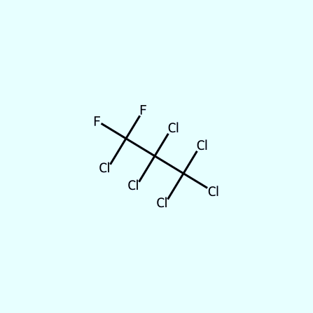 FC(F)(Cl)C(Cl)(Cl)C(Cl)(Cl)Cl